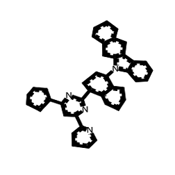 c1ccc(-c2cc(-c3ccccn3)nc(-c3ccc(-n4c5ccccc5c5cc6ccccc6cc54)c4ccccc34)n2)cc1